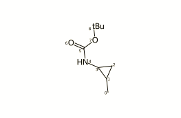 CC1C[C]1NC(=O)OC(C)(C)C